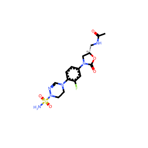 CC(=O)NC[C@H]1CN(c2ccc(N3C=NN(S(N)(=O)=O)CC3)c(F)c2)C(=O)O1